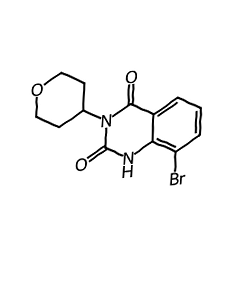 O=c1[nH]c2c(Br)cccc2c(=O)n1C1CCOCC1